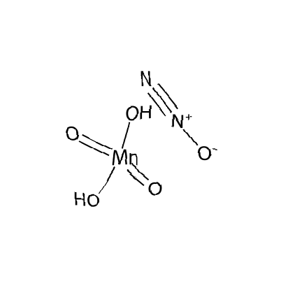 N#[N+][O-].[O]=[Mn](=[O])([OH])[OH]